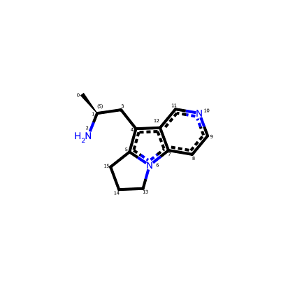 C[C@H](N)Cc1c2n(c3ccncc13)CCC2